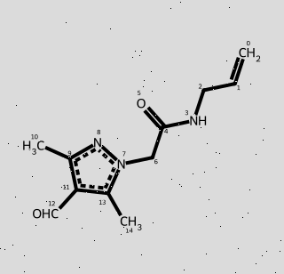 C=CCNC(=O)Cn1nc(C)c(C=O)c1C